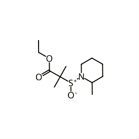 CCOC(=O)C(C)(C)[S+]([O-])N1CCCCC1C